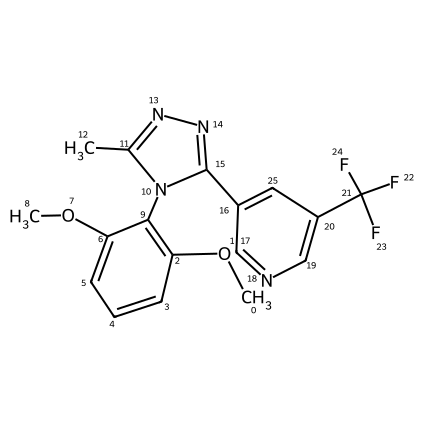 COc1cccc(OC)c1-n1c(C)nnc1-c1cncc(C(F)(F)F)c1